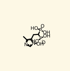 Cc1ncn(O)c1CC(P(=O)(O)O)P(=O)(O)O